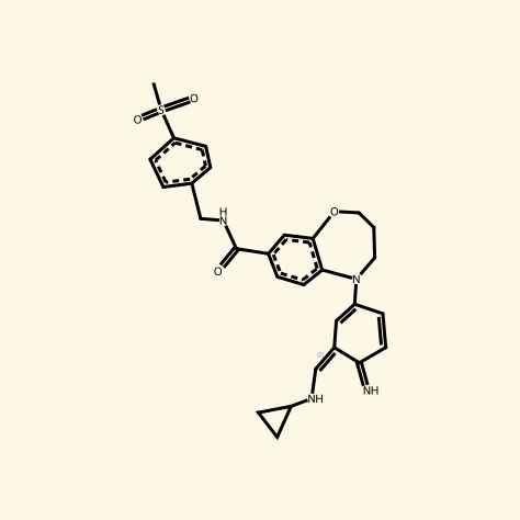 CS(=O)(=O)c1ccc(CNC(=O)c2ccc3c(c2)OCCCN3C2=C/C(=C/NC3CC3)C(=N)C=C2)cc1